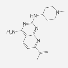 C=C(C)c1ccc2c(N)nc(NC3CCN(C)CC3)nc2n1